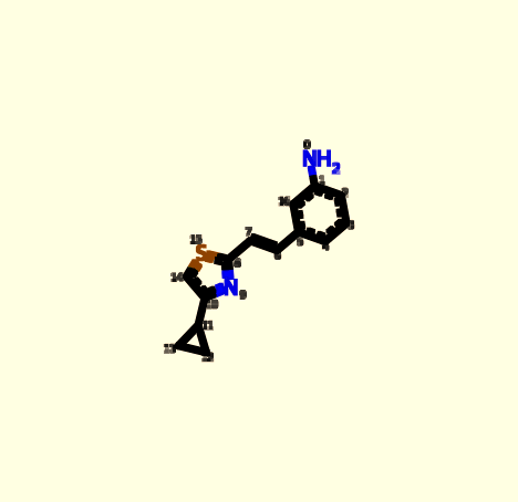 Nc1cccc(/C=C/c2nc(C3CC3)cs2)c1